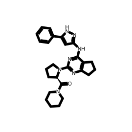 O=C([C@H]1CCCN1c1nc2c(c(Nc3cc(-c4ccccc4)[nH]n3)n1)CCC2)N1CCCCC1